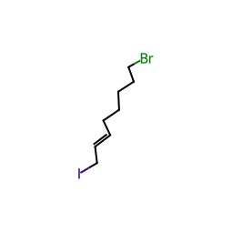 BrCCCCCC=CCI